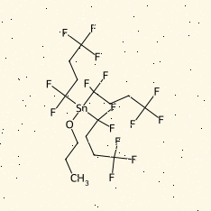 CCC[O][Sn]([C](F)(F)CCC(F)(F)F)([C](F)(F)CCC(F)(F)F)[C](F)(F)CCC(F)(F)F